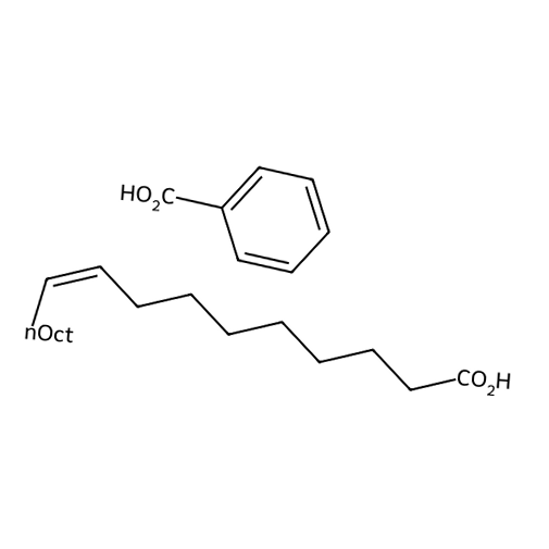 CCCCCCCC/C=C\CCCCCCCC(=O)O.O=C(O)c1ccccc1